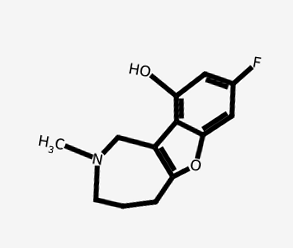 CN1CCCc2oc3cc(F)cc(O)c3c2C1